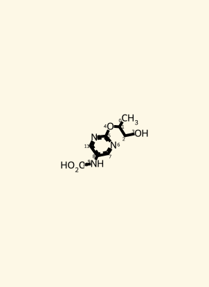 CC(CO)Oc1ncc(NC(=O)O)cn1